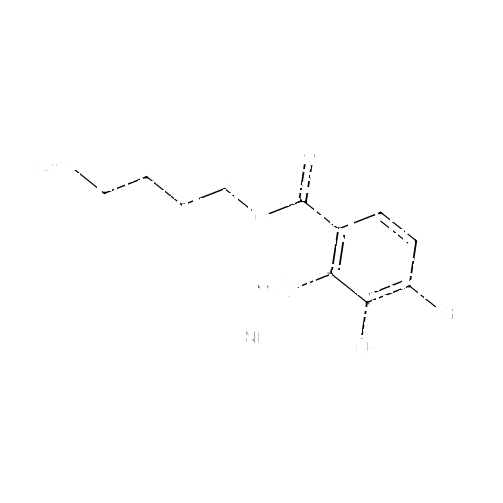 CCCCCCCCCCCCCCOC(=O)c1ccc(C)c(C)c1OC.N